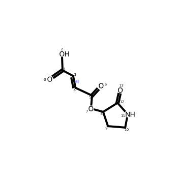 O=C(O)/C=C/C(=O)OC1CCNC1=O